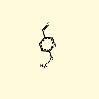 COc1ccc(C=S)cn1